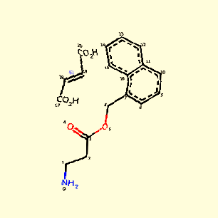 NCCC(=O)OCc1cccc2ccccc12.O=C(O)/C=C/C(=O)O